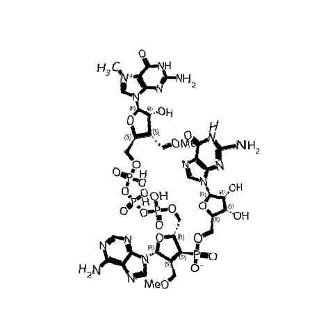 COC[C@@H]1[C@H](P(=O)([O-])OC[C@H]2O[C@@H](n3cnc4c(=O)[nH]c(N)nc43)[C@H](O)[C@@H]2O)[C@@H](COP(=O)(O)OP(=O)(O)OP(=O)(O)OC[C@H]2O[C@@H](n3c[n+](C)c4c(=O)[nH]c(N)nc43)[C@H](O)[C@@H]2COC)O[C@H]1n1cnc2c(N)ncnc21